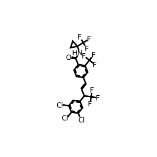 O=C(NC1(C(F)(F)F)CC1)c1ccc(/C=C/C(c2cc(Cl)c(Cl)c(Cl)c2)C(F)(F)F)cc1C(F)(F)F